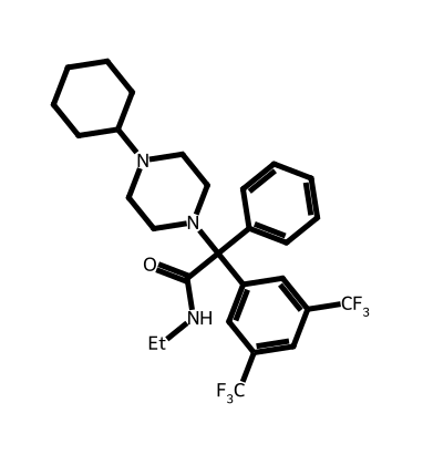 CCNC(=O)C(c1ccccc1)(c1cc(C(F)(F)F)cc(C(F)(F)F)c1)N1CCN(C2CCCCC2)CC1